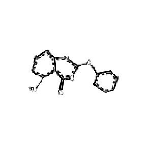 CC(C)(C)c1cccc2nc(Oc3ccccc3)oc(=O)c12